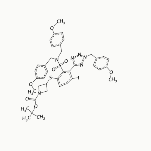 COc1ccc(CN(Cc2ccc(OC)cc2)S(=O)(=O)c2c(SC3CN(C(=O)OC(C)(C)C)C3)ccc(I)c2-c2nnn(Cc3ccc(OC)cc3)n2)cc1